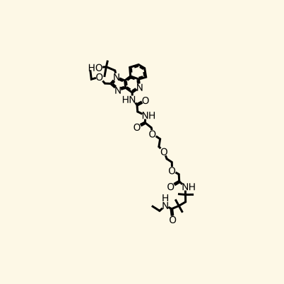 CCNC(=O)C(C)(C)CC(C)(C)NC(=O)COCCOCCOCC(=O)NCC(=O)Nc1nc2ccccc2c2c1nc(COCC)n2CC(C)(C)O